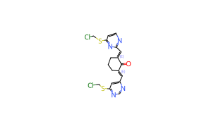 O=C1/C(=C/c2cc(SCCl)ncn2)CCC/C1=C\c1nccc(SCCl)n1